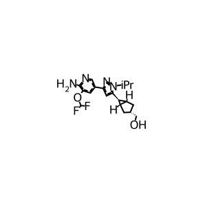 CC(C)n1nc(-c2cnc(N)c(OC(F)F)c2)cc1[C@H]1[C@@H]2C[C@H](CO)C[C@@H]21